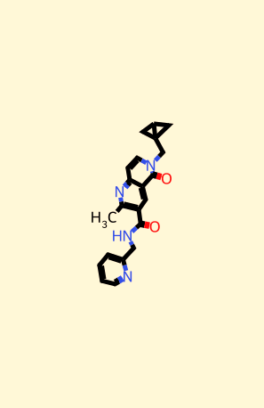 Cc1nc2ccn(CC34CC3C4)c(=O)c2cc1C(=O)NCc1ccccn1